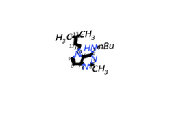 CCCCNc1nc(C)nc2ccn(CC=C(C)C)c12